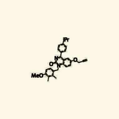 C#CCOc1ccc2c(c1)c(-c1ccc(C(C)C)cc1)nc(=O)n2Cc1ccc(OC)c(C)c1C